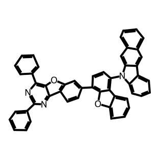 c1ccc(-c2nc(-c3ccccc3)c3oc4cc(-c5ccc(-n6c7ccccc7c7cc8ccccc8cc76)c6c5oc5ccccc56)ccc4c3n2)cc1